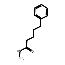 NNC(=O)CCCCc1ccccc1